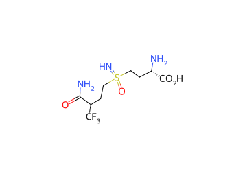 N=S(=O)(CCC(C(N)=O)C(F)(F)F)CC[C@H](N)C(=O)O